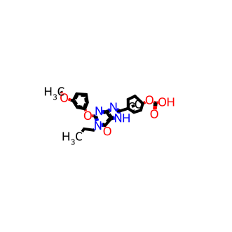 CCCn1c(Oc2cccc(OC)c2)nc2nc(C34CCC(OC(=O)O)(CC3)CC4)[nH]c2c1=O